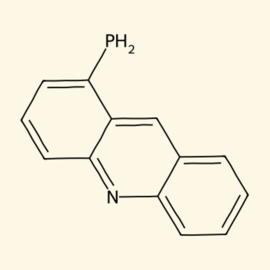 Pc1cccc2nc3ccccc3cc12